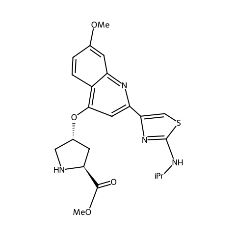 COC(=O)[C@@H]1C[C@@H](Oc2cc(-c3csc(NC(C)C)n3)nc3cc(OC)ccc23)CN1